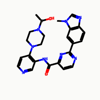 CB(O)N1CCN(c2ccncc2NC(=O)c2ccnc(-c3ccc4ncn(C)c4c3)n2)CC1